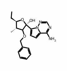 CC[C@H]1O[C@@](O)(c2ccc3c(N)ncnn23)C(OCc2ccccc2)[C@@H]1C